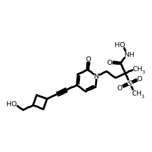 CC(CCn1ccc(C#CC2CC(CO)C2)cc1=O)(C(=O)NO)S(C)(=O)=O